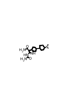 CN(C)c1ccc(-c2ccc3c(C(N)=O)c(NC(N)=O)[nH]c3c2)cc1